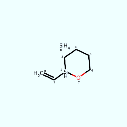 C=C[SiH]1CCCCO1.[SiH4]